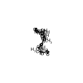 CC(C)[C@H](NC(=O)CCN1C(=O)C=CC1=O)C(=O)N[C@@H](C)C(=O)Nc1ccc(COC(=O)N(C)CC(=O)N[C@@H]2[C@@H](O)[C@@H](O)[C@@H](Nc3ncnc4occc34)O[C@H]2C)cc1